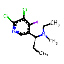 CC[C@@H](c1cnc(Cl)c(Cl)c1I)N(C)CC